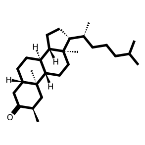 CC(C)CCC[C@@H](C)[C@H]1CC[C@H]2[C@@H]3CC[C@H]4CC(=O)[C@H](C)C[C@]4(C)[C@H]3CC[C@]12C